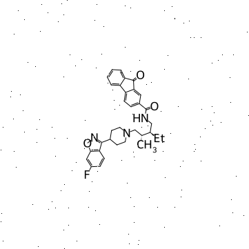 CC[C@H](CNC(=O)c1ccc2c(c1)C(=O)c1ccccc1-2)[C@H](C)CN1CCC(c2noc3cc(F)ccc23)CC1